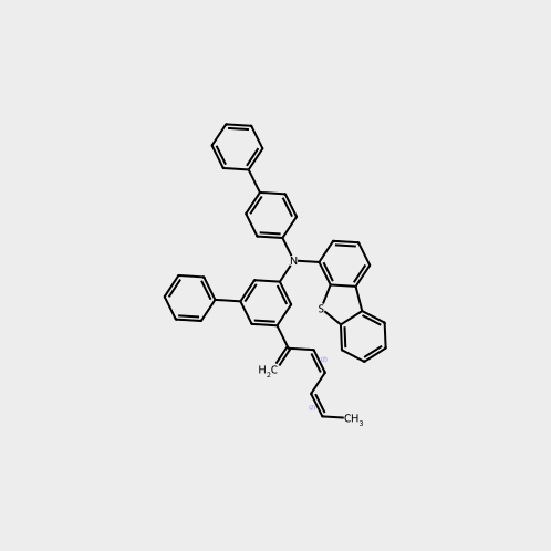 C=C(/C=C\C=C/C)c1cc(-c2ccccc2)cc(N(c2ccc(-c3ccccc3)cc2)c2cccc3c2sc2ccccc23)c1